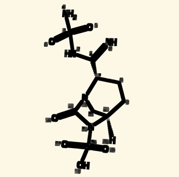 N=C(NS(N)(=O)=O)[C@@H]1CC[C@@H]2CN1C(=O)N2S(=O)(=O)O